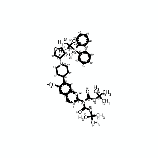 Cc1cc2cnc(N(C(=O)OC(C)(C)C)C(=O)OC(C)(C)C)nc2cc1C1CCN([C@@H]2COC[C@@H]2O[Si](c2ccccc2)(c2ccccc2)C(C)(C)C)CC1